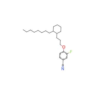 CCCCCCCCC1CCCCC1CCCOc1ccc(C#N)cc1F